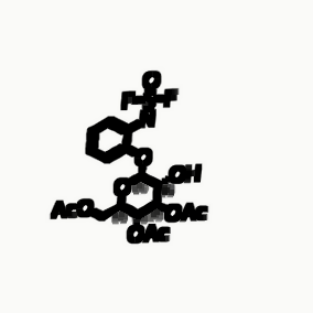 CC(=O)OC[C@H]1O[C@@H](Oc2ccccc2N=S(=O)(F)F)[C@H](O)[C@@H](OC(C)=O)[C@@H]1OC(C)=O